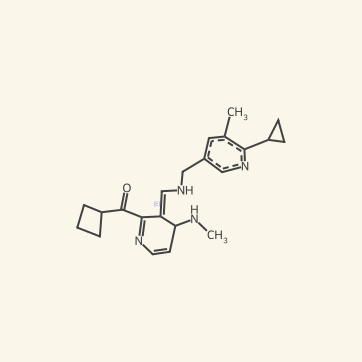 CNC1C=CN=C(C(=O)C2CCC2)/C1=C/NCc1cnc(C2CC2)c(C)c1